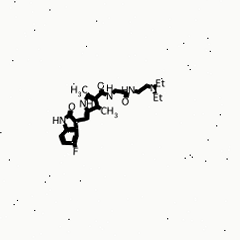 CCN(CC)CCNC(=O)CNC(=O)C1=C(C)NC(=CC2C(=O)Nc3ccc(F)cc32)C1C